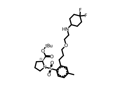 Cc1ccc(S(=O)(=O)N2CCC[C@H]2C(=O)OC(C)(C)C)c(CCCOCCNC2CCC(F)(F)CC2)c1